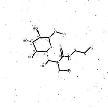 CCCCO[C@H]1O[C@H](C(O)N(CC(C)C)C(=O)NCCCl)[C@@H](O)[C@H](O)[C@H]1O